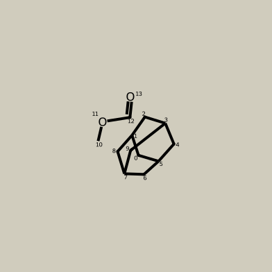 C1C2CC3CC1CC(C2)C3.COC=O